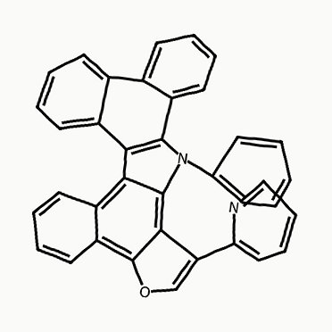 c1ccc(-n2c3c4ccccc4c4ccccc4c3c3c4ccccc4c4occ(-c5ccccn5)c4c32)cc1